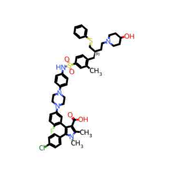 Cc1cc(S(=O)(=O)Nc2ccc(N3CCN(c4ccc(F)c(-c5c(C(=O)O)c(C)n(C)c5-c5ccc(Cl)cc5)c4)CC3)cc2)ccc1C[C@H](CCN1CCC(O)CC1)CSc1ccccc1